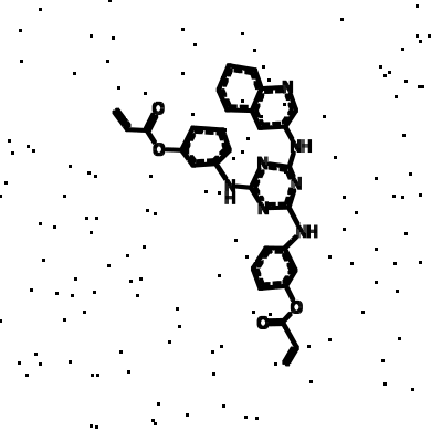 C=CC(=O)Oc1cccc(Nc2nc(Nc3cccc(OC(=O)C=C)c3)nc(Nc3cnc4ccccc4c3)n2)c1